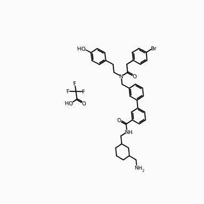 NCC1CCCC(CNC(=O)c2cccc(-c3cccc(CN(CCc4ccc(O)cc4)C(=O)Cc4ccc(Br)cc4)c3)c2)C1.O=C(O)C(F)(F)F